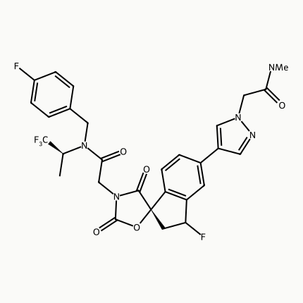 CNC(=O)Cn1cc(-c2ccc3c(c2)C(F)C[C@]32OC(=O)N(CC(=O)N(Cc3ccc(F)cc3)[C@@H](C)C(F)(F)F)C2=O)cn1